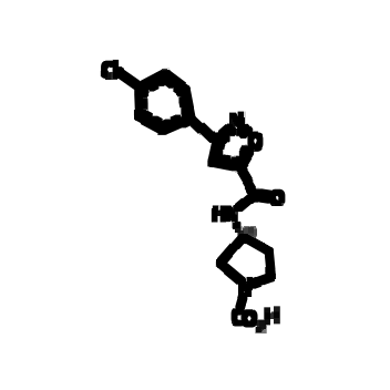 O=C(N[C@@H]1CCN(C(=O)O)C1)c1cc(-c2ccc(Cl)cc2)no1